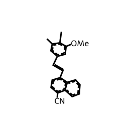 COc1cc(/C=C/c2ccc(C#N)c3ccccc23)cc(C)c1C